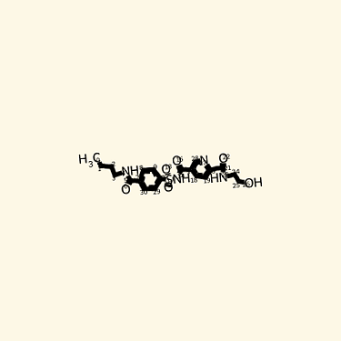 CCCCNC(=O)c1ccc(S(=O)(=O)NC(=O)c2ccc(C(=O)NCCO)nc2)cc1